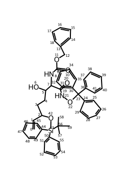 C=CC(CCC(O)C(NC(=O)OCc1ccccc1)C(=O)NOC(c1ccccc1)(c1ccccc1)c1ccccc1)O[Si](c1ccccc1)(c1ccccc1)C(C)(C)C